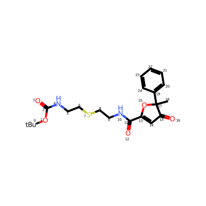 CC(C)(C)OC(=O)NCCSCCNC(=O)C1=CC(=O)C(C)(c2ccccc2)O1